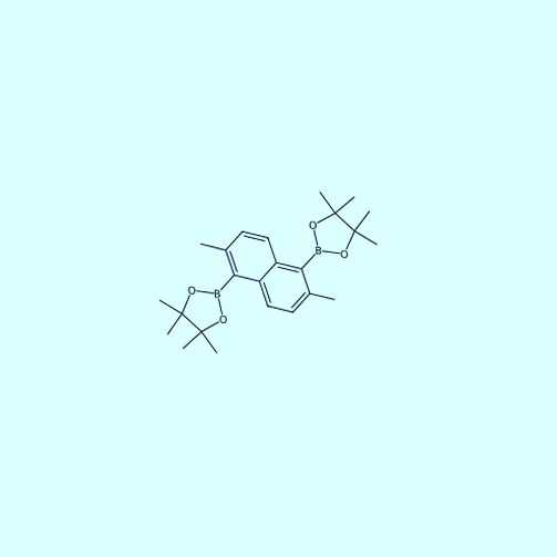 Cc1ccc2c(B3OC(C)(C)C(C)(C)O3)c(C)ccc2c1B1OC(C)(C)C(C)(C)O1